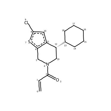 C=CC(=O)N1Cc2sc(Cl)cc2[C@H](C2CCCCC2)C1